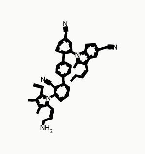 C=Cc1c(C)c(C)c(/C=C\CN)n1-c1cccc(-c2ccc(-c3ccc(C#N)cc3-n3c(C)c(/C=C\CC)c4cc(C#N)ccc43)cc2)c1C#N